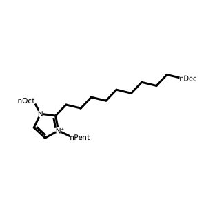 CCCCCCCCCCCCCCCCCCCc1n(CCCCCCCC)cc[n+]1CCCCC